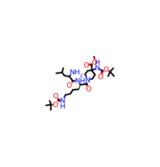 COC(=O)C1(NC(=O)OC(C)(C)C)CCN(C(=O)[C@@H](CCCCNC(=O)OC(C)(C)C)NC(=O)C(N)CC(C)C)CC1